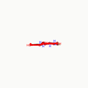 O=C(O)CCCCCCCCCCCCCCCCCCC(=O)NC[C@H]1CC[C@H](C(=O)N[C@@H](CCC(=O)NCCOCCOCC(=O)NCCOCCOCC(=O)NCCCC[C@H](NS)C(=O)O)C(=O)O)CC1